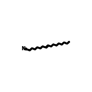 CCCCCCCCC=CCCCCCCC#N